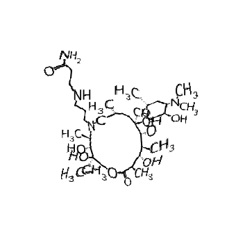 CC[C@H]1OC(=O)[C@H](C)[C@@H](O)[C@H](C)[C@@H](O[C@@H]2O[C@H](C)C[C@H](N(C)C)[C@H]2O)[C@](C)(O)C[C@@H](C)CN(CCCNCCC(N)=O)[C@H](C)[C@@H](O)[C@]1(C)O